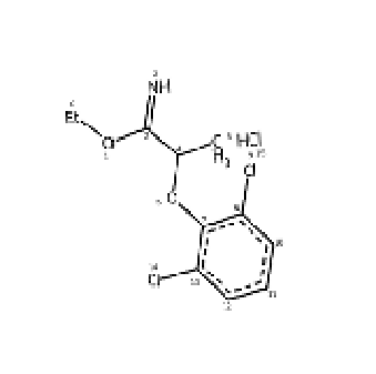 CCOC(=N)C(C)Oc1c(Cl)cccc1Cl.Cl